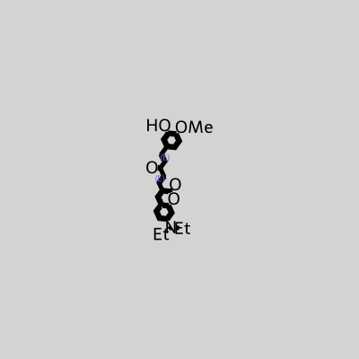 CCN(CC)c1ccc2cc(/C=C/C(=O)/C=C/c3ccc(OC)c(O)c3)c(=O)oc2c1